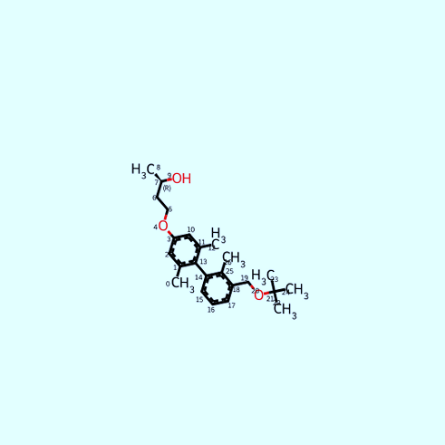 Cc1cc(OCC[C@@H](C)O)cc(C)c1-c1cccc(COC(C)(C)C)c1C